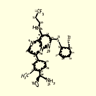 Cc1cc(-c2cnc3c(NCCC(F)(F)F)cc(Sc4ccccc4F)nn23)ccc1C(N)=O